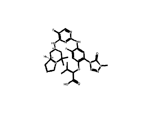 CC(C)C(Oc1cc(F)c(Nc2ncc(F)c(N[C@@H]3C[C@@H]4CCCN4C(C)(C)C3)n2)cc1-n1nnn(C)c1=O)C(=O)O